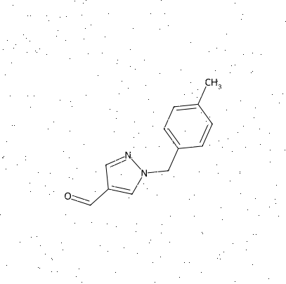 Cc1ccc(Cn2cc(C=O)cn2)cc1